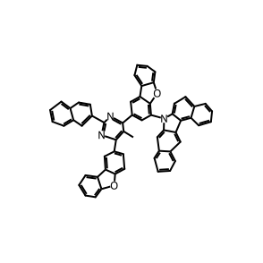 Cc1c(-c2ccc3oc4ccccc4c3c2)nc(-c2ccc3ccccc3c2)nc1-c1cc(-n2c3cc4ccccc4cc3c3c4ccccc4ccc32)c2oc3ccccc3c2c1